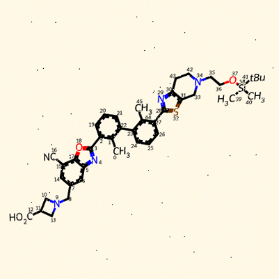 Cc1c(-c2nc3cc(CN4CC(C(=O)O)C4)cc(C#N)c3o2)cccc1-c1cccc(-c2nc3c(s2)CN(CCO[Si](C)(C)C(C)(C)C)CC3)c1C